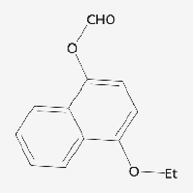 CCOc1ccc(OC=O)c2ccccc12